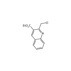 CCOC(=O)c1cc2ccccc2nc1CCl